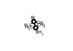 Bc1cc(C)c(-c2c(C)cc(Br)cc2C)c(C)c1